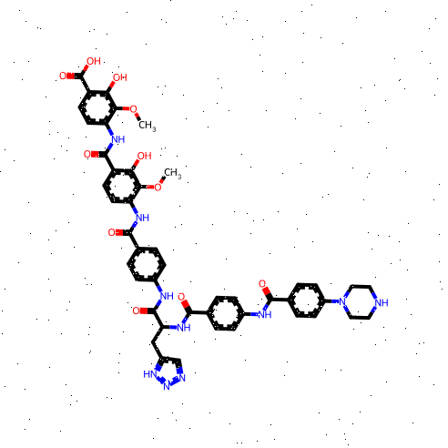 COc1c(NC(=O)c2ccc(NC(=O)c3ccc(NC(=O)C(Cc4cnn[nH]4)NC(=O)c4ccc(NC(=O)c5ccc(N6CCNCC6)cc5)cc4)cc3)c(OC)c2O)ccc(C(=O)O)c1O